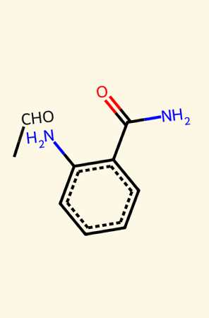 CC=O.NC(=O)c1ccccc1N